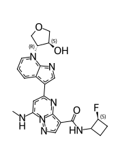 CNc1cc(-c2cnc3n([C@@H]4COC[C@H]4O)cccc2-3)nc2c(C(=O)NC3CC[C@@H]3F)cnn12